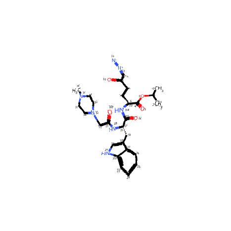 CC(C)OC(=O)[C@H](CCC(=O)C=[N+]=[N-])NC(=O)[C@H](Cc1c[nH]c2ccccc12)NC(=O)CN1CCN(C)CC1